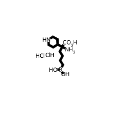 Cl.Cl.NC(CCCCB(O)O)(C(=O)O)C1CCNCC1